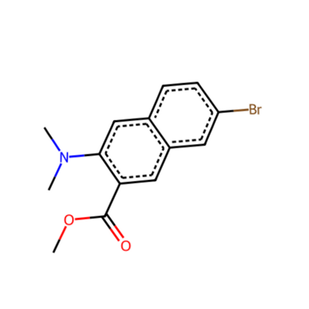 COC(=O)c1cc2cc(Br)ccc2cc1N(C)C